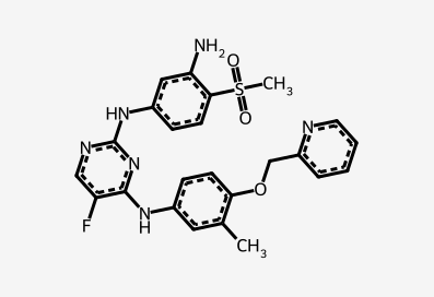 Cc1cc(Nc2nc(Nc3ccc(S(C)(=O)=O)c(N)c3)ncc2F)ccc1OCc1ccccn1